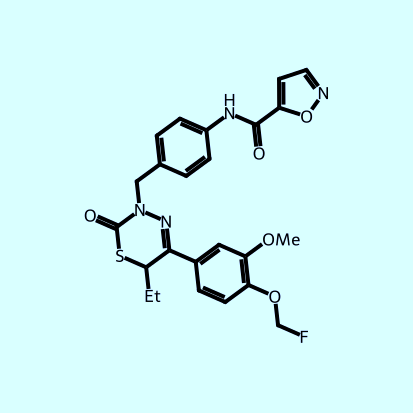 CCC1SC(=O)N(Cc2ccc(NC(=O)c3ccno3)cc2)N=C1c1ccc(OCF)c(OC)c1